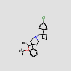 C[SiH](C)OC(C(C)(C)C)C1(c2ccccc2)CCN(CC2(c3ccc(Cl)cc3)CCC2)CC1